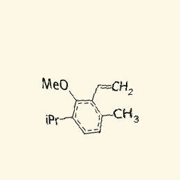 C=Cc1c(C)ccc(C(C)C)c1OC